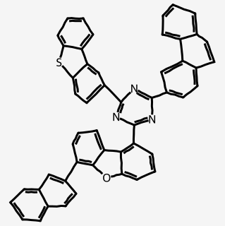 c1ccc2cc(-c3cccc4c3oc3cccc(-c5nc(-c6ccc7ccc8ccccc8c7c6)nc(-c6ccc7sc8ccccc8c7c6)n5)c34)ccc2c1